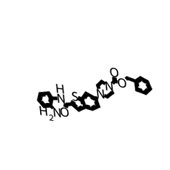 Nc1ccccc1NC(=O)c1cc2ccc(N3CCN(C(=O)OCc4ccccc4)CC3)cc2s1